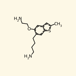 Cc1cc2cc(OCCN)c(CCCCN)cc2s1